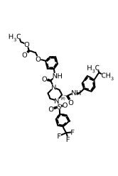 CCOC(=O)COc1cccc(NC(=O)N2CCN(S(=O)(=O)c3ccc(C(F)(F)F)cc3)[C@@H](C(=O)NCc3ccc(C(C)C)cc3)C2)c1